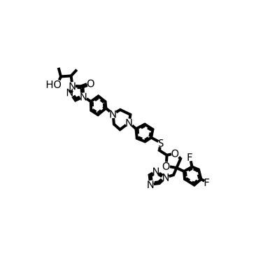 CC(O)C(C)n1ncn(-c2ccc(N3CCN(c4ccc(SCC5OCC(Cn6cncn6)(c6ccc(F)cc6F)O5)cc4)CC3)cc2)c1=O